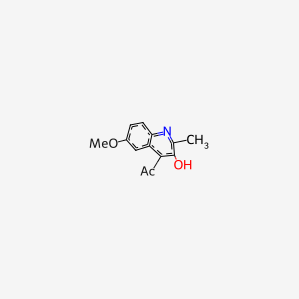 COc1ccc2nc(C)c(O)c(C(C)=O)c2c1